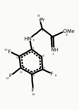 COC(=N)C(Nc1cc(F)c(F)c(F)c1F)C(C)C